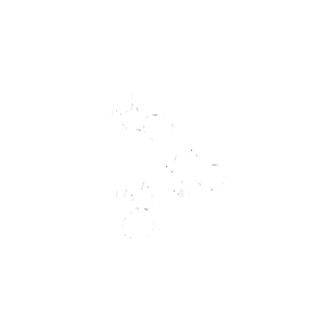 O=c1[nH][nH]c2ccc(-c3nc(Nc4n[nH]c5cccc(Cl)c45)c4ccccc4n3)c(C(F)(F)F)c12